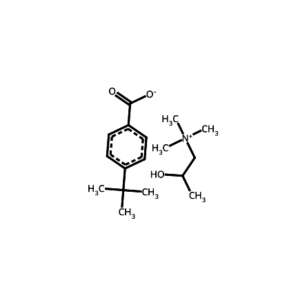 CC(C)(C)c1ccc(C(=O)[O-])cc1.CC(O)C[N+](C)(C)C